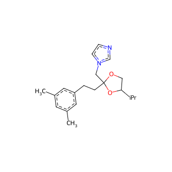 Cc1cc(C)cc(CCC2(Cn3ccnc3)OCC(C(C)C)O2)c1